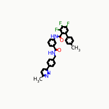 Cc1ccc(-c2cc(F)c(F)c(F)c2C(=O)Nc2cccc(C(=O)NCc3ccc(-c4ccc(C)nn4)cc3)c2)cc1